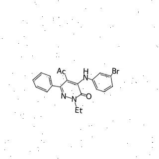 CCn1nc(-c2ccccc2)c(C(C)=O)c(Nc2cccc(Br)c2)c1=O